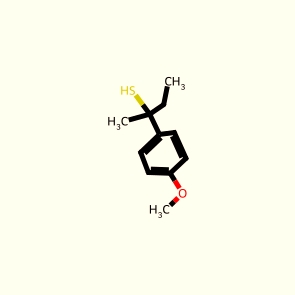 CCC(C)(S)c1ccc(OC)cc1